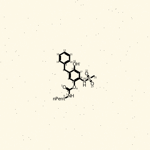 CCCCCNC(=O)Oc1cc(Cc2ccccc2)c(O)cc1NS(C)(=O)=O